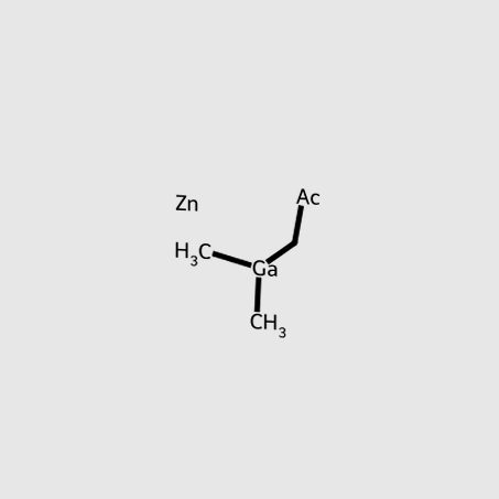 CC(=O)[CH2][Ga]([CH3])[CH3].[Zn]